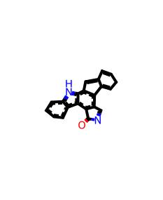 O=C1N=Cc2c3c(c4[nH]c5ccccc5c4c21)C=C1C=CCC=C13